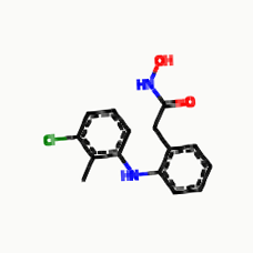 Cc1c(Cl)cccc1Nc1ccccc1CC(=O)NO